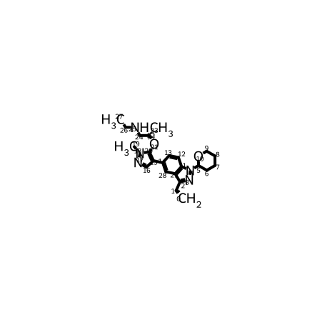 C=Cc1nn(C2CCCCO2)c2ccc(-c3cnn(C)c3O[C@@H](C)CNCC)cc12